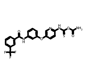 NC(=O)OC(=S)Nc1ccc(Oc2cccc(NC(=O)c3cccc(C(F)(F)F)c3)c2)cn1